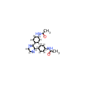 CC(=O)Nc1ccc(-c2nccnc2-c2ccc(NC(C)=O)cc2)cc1